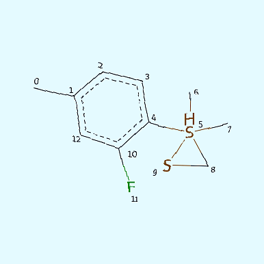 Cc1ccc([SH]2(C)(C)CS2)c(F)c1